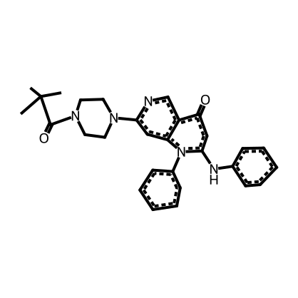 CC(C)(C)C(=O)N1CCN(c2cc3c(cn2)c(=O)cc(Nc2ccccc2)n3-c2ccccc2)CC1